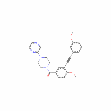 COc1cccc(C#Cc2cc(C(=O)N3CCN(c4cnccn4)CC3)ccc2OC)c1